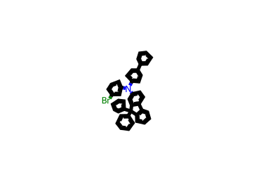 Brc1cccc(N(c2ccc(-c3ccccc3)cc2)c2ccc3c(c2)C(c2ccccc2)(c2ccccc2)c2ccccc2-3)c1